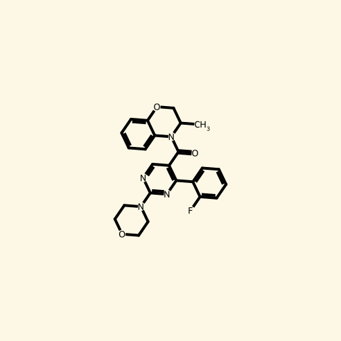 CC1COc2ccccc2N1C(=O)c1cnc(N2CCOCC2)nc1-c1ccccc1F